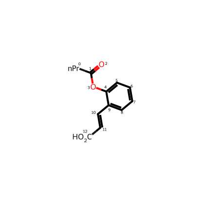 CCCC(=O)Oc1ccccc1C=CC(=O)O